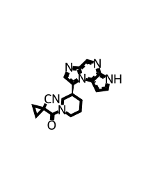 N#CC1(C(=O)N2CCC[C@H](c3cnc4cnc5[nH]ccc5n34)C2)CC1